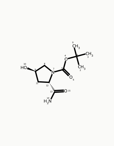 CC(C)(C)OC(=O)N1C[C@H](O)C[C@H]1C(N)=O